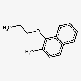 CCCOc1c(C)ccc2ccccc12